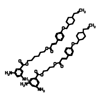 C=CCC1CCC(COc2ccc(C=CC(=O)OCCCCCCOC(=O)c3cc(N)cc(N)c3)cc2)CC1.C=CCC1CCC(COc2ccc(C=CC(=O)OCCCCOC(=O)c3cc(N)cc(N)c3)cc2)CC1